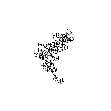 CC(=O)[O-].NC(=O)C(=O)O.O=C(CO)[C@@H](O)[C@H](O)[C@H](O)CO.O=C(O)CC(O)(CC(=O)O)C(=O)O.O=C(O)CC(O)C(=O)O.O=C(O)CCC(=O)O.O=C[C@H](O)[C@@H](O)[C@H](O)[C@H](O)CO.[Na+]